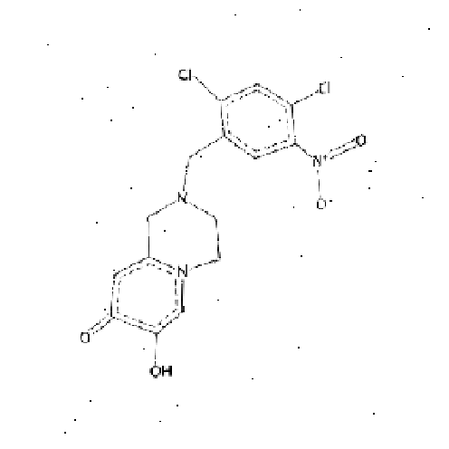 O=c1cc2n(cc1O)CCN(Cc1cc([N+](=O)[O-])c(Cl)cc1Cl)C2